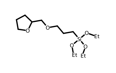 CCO[Si](CCCOCC1CCCO1)(OCC)OCC